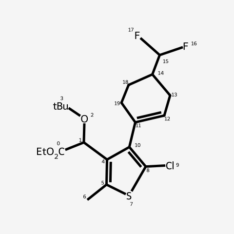 CCOC(=O)C(OC(C)(C)C)c1c(C)sc(Cl)c1C1=CCC(C(F)F)CC1